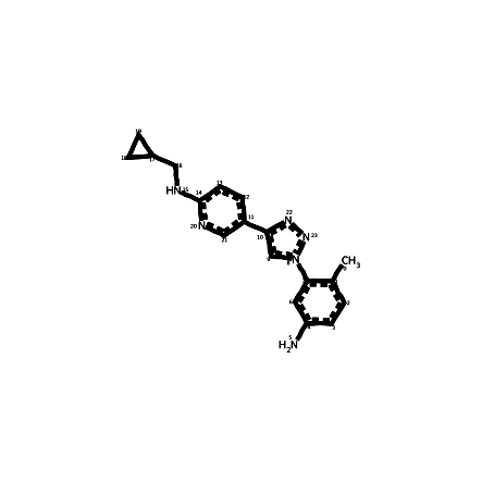 Cc1ccc(N)cc1-n1cc(-c2ccc(NCC3CC3)nc2)nn1